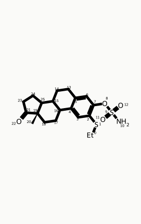 CCSc1cc2c(cc1OS(N)(=O)=O)CCC1C2CC[C@]2(C)C(=O)CCC12